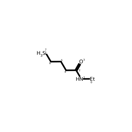 CCNC(=O)CCC[SiH3]